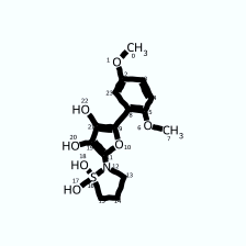 COc1ccc(OC)c(-c2oc(N3CCCS3(O)O)c(O)c2O)c1